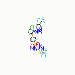 O=S(=O)(Nc1nnc(C(F)(F)F)s1)c1ccc([C@@H]2CCC[C@H]2Nc2ncc(C(F)(F)F)cc2Cl)cc1